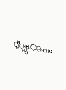 O=Cc1cc2ccc(C(=O)N[C@@H]3CC4CCN(CC4)C3)cc2o1